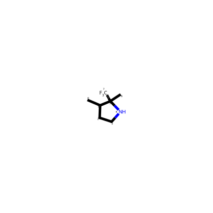 CC1CCNC1(C)C(F)(F)F